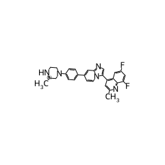 Cc1cc(-c2cnc3cc(-c4ccc(N5CCN[C@H](C)C5)cc4)ccn23)c2cc(F)cc(F)c2n1